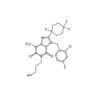 Cn1c(=O)n(CCCO)c(=O)c2c1nc(C1(F)CCC(F)(F)CC1)n2Cc1ccc(F)cc1Cl